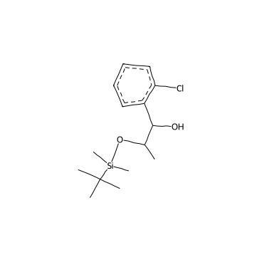 CC(O[Si](C)(C)C(C)(C)C)C(O)c1ccccc1Cl